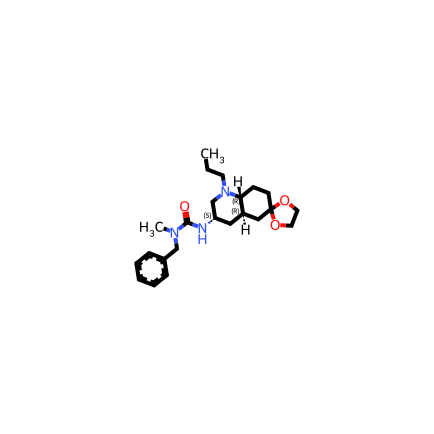 CCCN1C[C@@H](NC(=O)N(C)Cc2ccccc2)C[C@@H]2CC3(CC[C@H]21)OCCO3